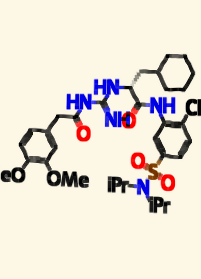 COc1ccc(CC(=O)NC(=N)N[C@H](CC2CCCCC2)C(=O)Nc2cc(S(=O)(=O)N(C(C)C)C(C)C)ccc2C)cc1OC